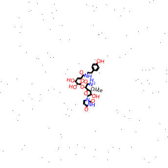 CO[C@@H]1C([C@@H](O[C@H]2OC(C(=O)NCCc3ccc(O)cc3)=C[C@H](O)[C@@H]2O)C(N)=O)O[C@@H](n2ccc(=O)[nH]c2=O)[C@@H]1O